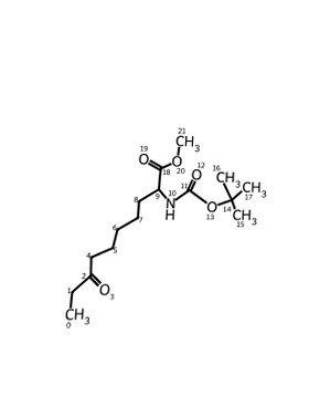 CCC(=O)CCCCCC(NC(=O)OC(C)(C)C)C(=O)OC